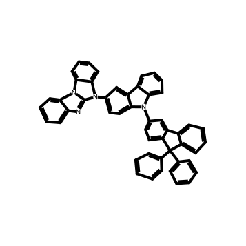 c1ccc(C2(c3ccccc3)c3ccccc3-c3cc(-n4c5ccccc5c5cc(-n6c7ccccc7n7c8ccccc8nc67)ccc54)ccc32)cc1